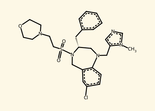 Cn1cncc1CN1C[C@@H](Cc2ccccc2)N(S(=O)(=O)CCN2CCOCC2)Cc2cc(Cl)ccc21